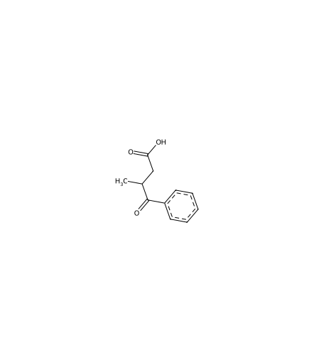 CC(CC(=O)O)C(=O)c1ccccc1